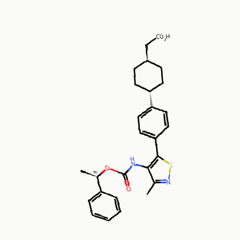 Cc1nsc(-c2ccc([C@H]3CC[C@H](CC(=O)O)CC3)cc2)c1NC(=O)O[C@H](C)c1ccccc1